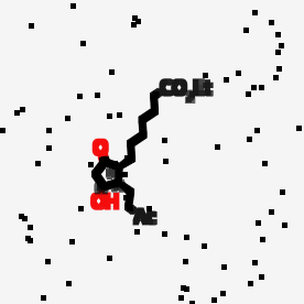 CCOC(=O)CCCCCC[C@@H]1C(=O)C[C@@H](O)[C@@H]1CCC(C)=O